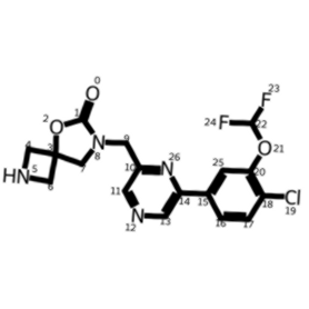 O=C1OC2(CNC2)CN1Cc1cncc(-c2ccc(Cl)c(OC(F)F)c2)n1